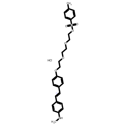 CNc1ccc(/C=C/c2ccc(OCCOCCOCCOS(=O)(=O)c3ccc(C)cc3)cc2)cc1.Cl